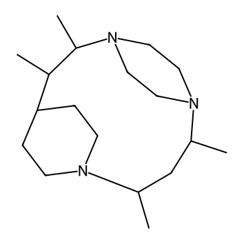 CC1C2CCN(CC2)C(C)CC(C)N2CCN(CC2)C1C